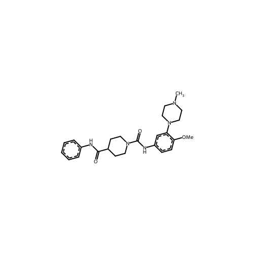 COc1ccc(NC(=O)N2CCC(C(=O)Nc3ccccc3)CC2)cc1N1CCN(C)CC1